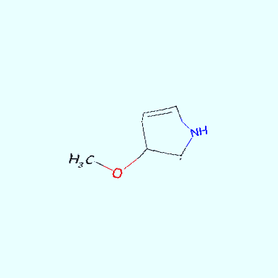 COC1[CH]NC=C1